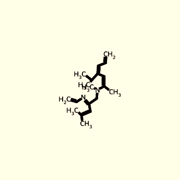 C=C/C=C(\C=C(\C)N(C)C/C(C=C(C)C)=N/C=C)C(C)C